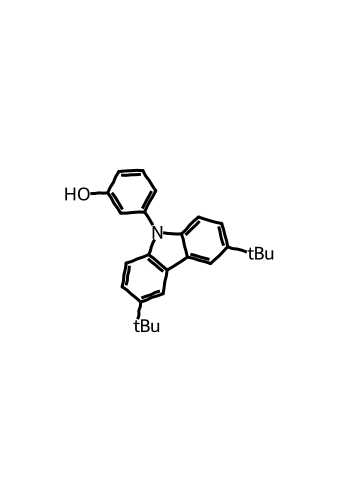 CC(C)(C)c1ccc2c(c1)c1cc(C(C)(C)C)ccc1n2-c1cccc(O)c1